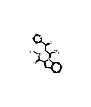 NNC(=O)C1=Cc2ccccc2S1=C(CC(=O)c1cccs1)C(F)(F)F